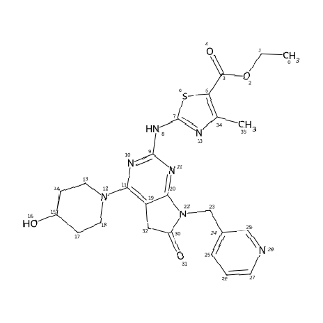 CCOC(=O)c1sc(Nc2nc(N3CCC(O)CC3)c3c(n2)N(Cc2cccnc2)C(=O)C3)nc1C